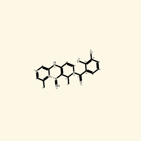 Cc1cncc(NC2=C(N=N)C(C)N(C(=O)c3cccc(Cl)c3Cl)C=C2)n1